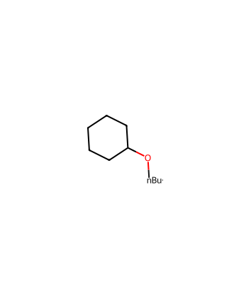 [CH2]CC[CH]OC1CCCCC1